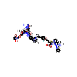 Cc1c(Nc2nc3ccccc3s2)nnc2c1CCCN2c1nc(C(=O)O)c(CCCOc2ccc(C#CC(C)N3CC[N+](C)(Cc4ccc(NC(=O)[C@H](CCCNC(N)=O)NC(=O)[C@@H](NC(=O)CCOCCN5C(=O)C=CC5=O)C(C)C)cc4)CC3)cc2F)s1